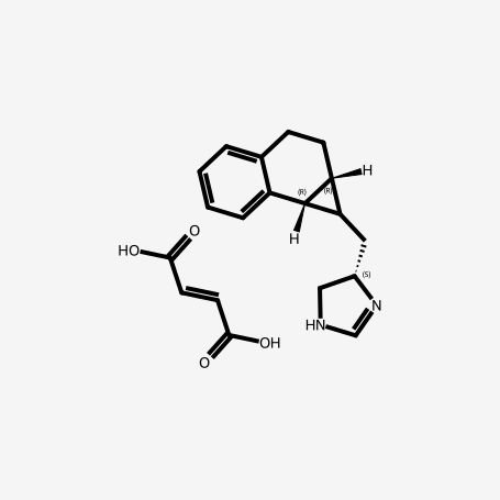 C1=N[C@@H](CC2[C@H]3CCc4ccccc4[C@@H]23)CN1.O=C(O)C=CC(=O)O